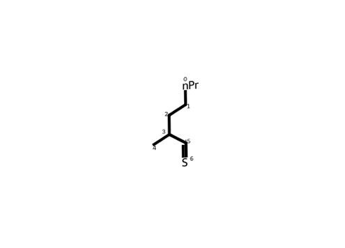 CCCCCC(C)[C]=S